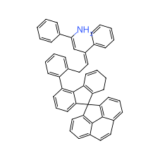 N/C(=C\C(=C/Cc1ccccc1-c1cccc2c1C1=C(CCC=C1)C21c2cccc3ccc4cccc1c4c23)c1ccccc1)c1ccccc1